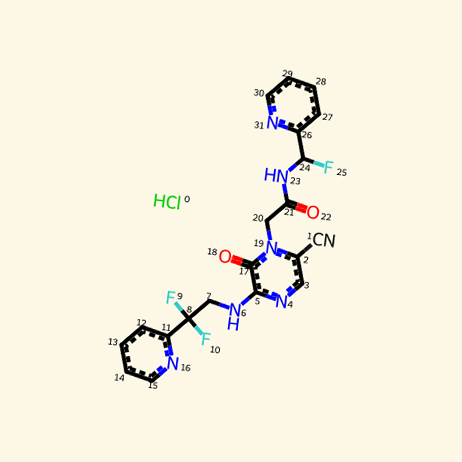 Cl.N#Cc1cnc(NCC(F)(F)c2ccccn2)c(=O)n1CC(=O)NC(F)c1ccccn1